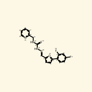 Fc1ccc(-c2ccc(C=NNC(=S)NCc3ccccn3)o2)c(F)c1